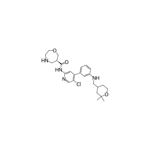 CC1(C)CC(CNc2cccc(-c3cc(NC(=O)[C@H]4CNCCOC4)ncc3Cl)c2)CCO1